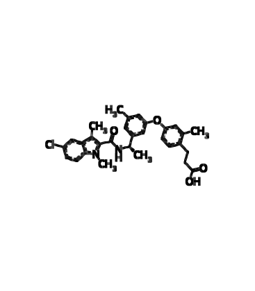 Cc1cc(Oc2ccc(CCC(=O)O)c(C)c2)cc([C@@H](C)NC(=O)c2c(C)c3cc(Cl)ccc3n2C)c1